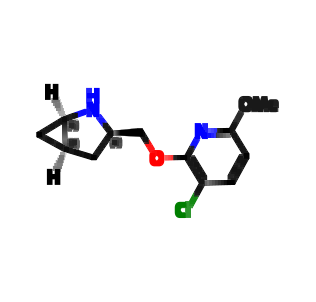 COc1ccc(Cl)c(OC[C@H]2C[C@H]3C[C@H]3N2)n1